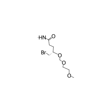 COCCOCO[C@H](CBr)CCC([NH])=O